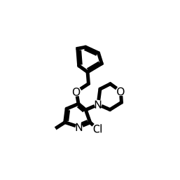 Cc1cc(OCc2ccccc2)c(N2CCOCC2)c(Cl)n1